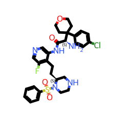 N[C@H](C(=O)Nc1cncc(F)c1CC[C@H]1CNCCN1S(=O)(=O)c1ccccc1)C1(c2ccc(Cl)cc2)CCOCC1